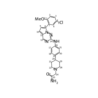 COc1ccc(Cl)cc1-c1ccc2cnc(Nc3ccc(C4CCN(CC(N)=O)CC4)cc3)nn12